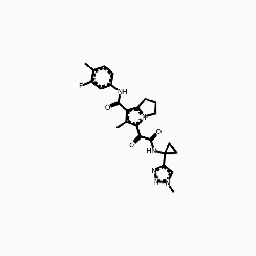 Cc1ccc(NC(=O)c2c(C)c(C(=O)C(=O)NC3(c4cn(C)nn4)CC3)n3c2CCC3)cc1F